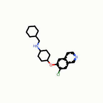 Clc1cc2cnccc2cc1OC1CCC(NCC2CCCCC2)CC1